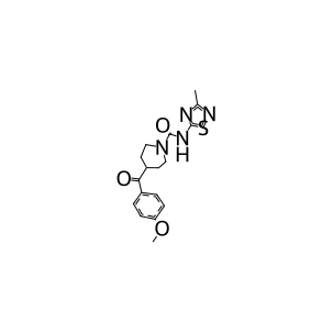 COc1ccc(C(=O)C2CCN(C(=O)Nc3nc(C)ns3)CC2)cc1